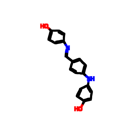 Oc1ccc(/N=C/c2ccc(Nc3ccc(O)cc3)cc2)cc1